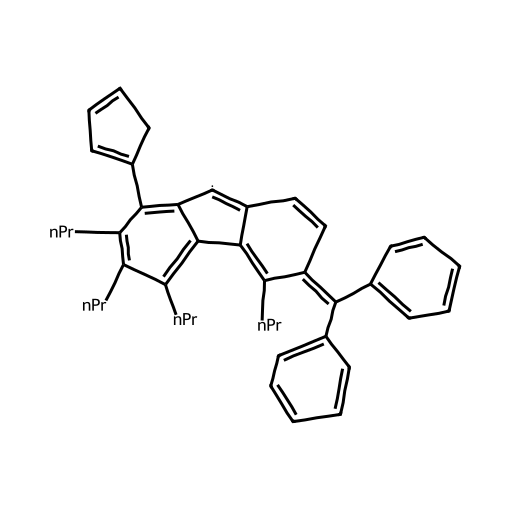 CCCc1c(CCC)c(C2=CC=CC2)c2c(c1CCC)-c1c(CCC)c(=C(c3ccccc3)c3ccccc3)ccc1=[C]2